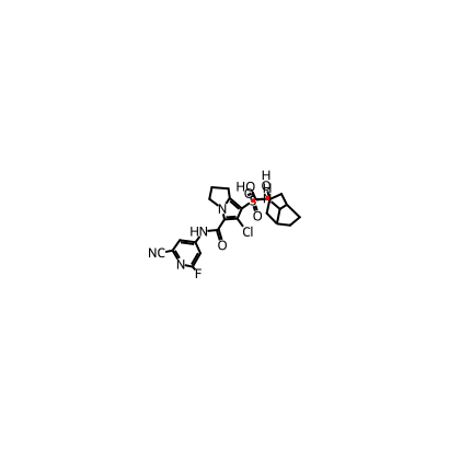 N#Cc1cc(NC(=O)c2c(Cl)c(S(=O)(=O)NC3C4CCC3CC(O)(CO)C4)c3n2CCC3)cc(F)n1